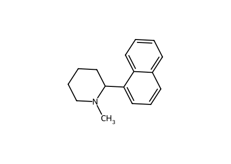 CN1CCCCC1c1cccc2ccccc12